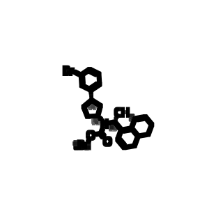 C[C@H](C1=C2C=CCCC2CC=C1)N(C(=O)OC(C)(C)C)[C@H]1CC[C@@H](c2cccc(Br)c2)C1